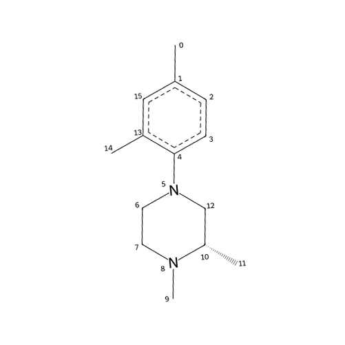 Cc1ccc(N2CCN(C)[C@@H](C)C2)c(C)c1